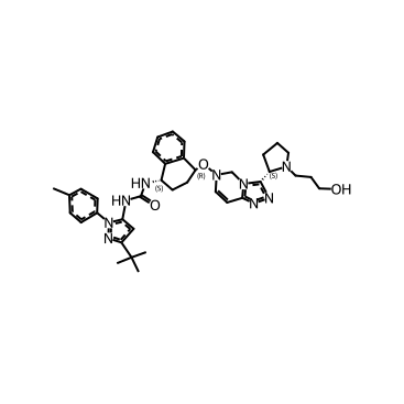 Cc1ccc(-n2nc(C(C)(C)C)cc2NC(=O)N[C@H]2CC[C@@H](ON3C=Cc4nnc([C@@H]5CCCN5CCCO)n4C3)c3ccccc32)cc1